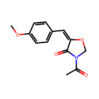 COc1ccc(/C=C2/OCN(C(C)=O)C2=O)cc1